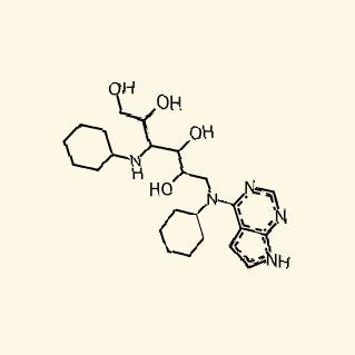 OCC(O)C(NC1CCCCC1)C(O)C(O)CN(c1ncnc2[nH]ccc12)C1CCCCC1